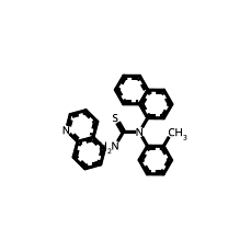 Cc1ccccc1N(C(N)=S)c1cccc2ccccc12.c1ccc2ncccc2c1